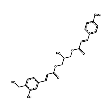 COc1ccc(/C=C/C(=O)OCC(O)COC(=O)/C=C/c2ccc(CO)c(O)c2)cc1